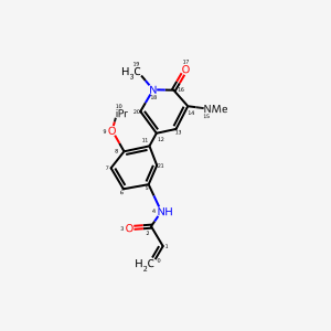 C=CC(=O)Nc1ccc(OC(C)C)c(-c2cc(NC)c(=O)n(C)c2)c1